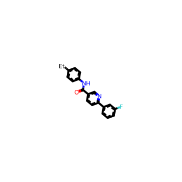 CCc1ccc(NC(=O)c2ccc(-c3cccc(F)c3)nc2)cc1